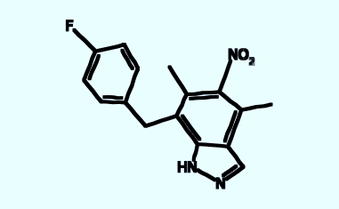 Cc1c([N+](=O)[O-])c(C)c2cn[nH]c2c1Cc1ccc(F)cc1